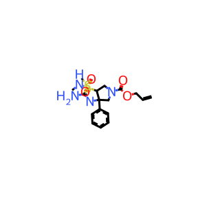 C=CCOC(=O)N1CC(S(=O)(=O)NC)C(/N=C(/N)SC)(c2ccccc2)C1